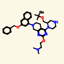 CN(C)CCOc1nc2c(c(N3CCNCC3CO[Si](C)(C)C(C)(C)C)n1)CCN(c1cc(OCc3ccccc3)cc3ccccc13)C2